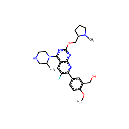 COc1ccc(-c2nc3nc(OCC4CCCN4C)nc(N4CCNCC4C)c3cc2F)cc1CO